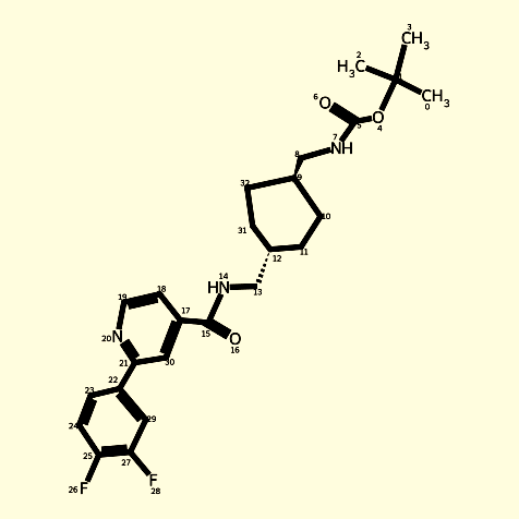 CC(C)(C)OC(=O)NC[C@H]1CC[C@H](CNC(=O)c2ccnc(-c3ccc(F)c(F)c3)c2)CC1